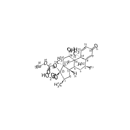 C[C@@H]1C[C@H]2[C@@H]3C[C@H](F)C4=CC(=O)C=C[C@]4(C)C3(F)[C@@H](O)C[C@]2(C)[C@@]1(OC(=O)O)OC(=O)OC(C)(C)C